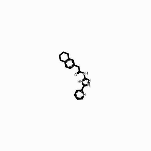 O=C(Cc1ccc2c(c1)CCCC2)Nc1nnc(-c2ccccn2)[nH]1